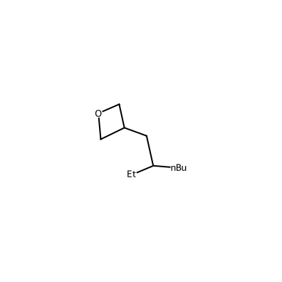 CCCCC(CC)CC1COC1